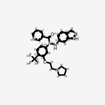 O=C(c1cccnc1)N(Nc1ccc2cn[nH]c2c1)c1ccc(C(F)(F)F)c(OCCN2CCCC2)c1